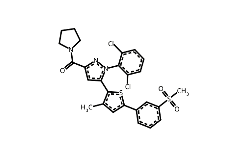 Cc1cc(-c2cccc(S(C)(=O)=O)c2)sc1-c1cc(C(=O)N2CCCC2)nn1-c1c(Cl)cccc1Cl